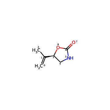 C=C(C)[C@@H]1CNC(=O)O1